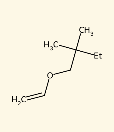 C=COCC(C)(C)CC